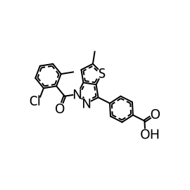 Cc1cc2c(s1)c(-c1ccc(C(=O)O)cc1)nn2C(=O)c1c(C)cccc1Cl